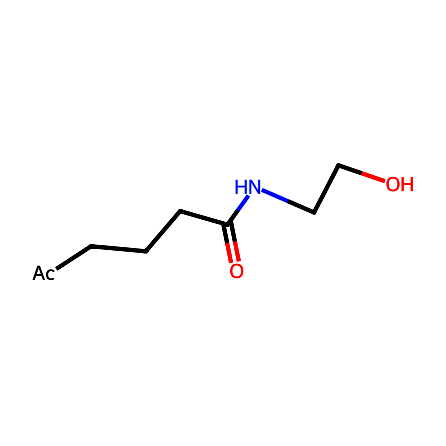 CC(=O)CCCC(=O)NCCO